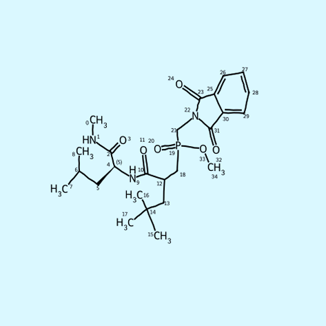 CNC(=O)[C@H](CC(C)C)NC(=O)C(CC(C)(C)C)CP(=O)(CN1C(=O)c2ccccc2C1=O)OC